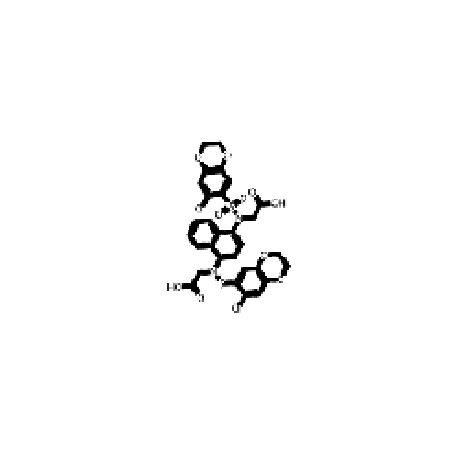 O=C(O)CN(Sc1cc2c(cc1Cl)OCCO2)c1ccc(N(CC(=O)O)S(=O)(=O)c2cc3c(cc2Cl)OCCO3)c2ccccc12